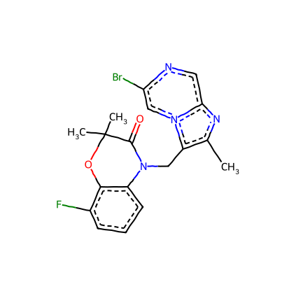 Cc1nc2cnc(Br)cn2c1CN1C(=O)C(C)(C)Oc2c(F)cccc21